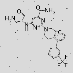 NC[C@@H](C=O)Nc1cc(C(N)=O)nc(N2CCc3c(cccc3-c3cccc(C(F)(F)F)c3)C2)n1